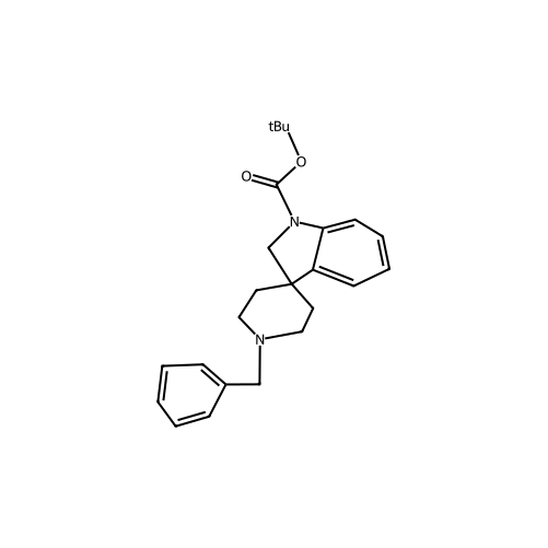 CC(C)(C)OC(=O)N1CC2(CCN(Cc3ccccc3)CC2)c2ccccc21